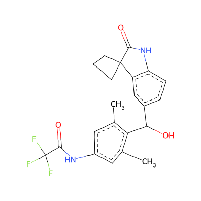 Cc1cc(NC(=O)C(F)(F)F)cc(C)c1C(O)c1ccc2c(c1)C1(CCC1)C(=O)N2